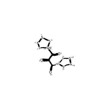 O=C(C(=O)[SH]1SSSS1)C(=O)[SH]1SSSS1